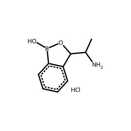 CC(N)C1OB(O)c2ccccc21.Cl